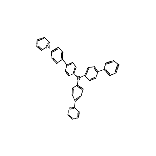 c1ccc(-c2ccc(B(c3ccc(-c4ccccc4)cc3)c3ccc(-c4ccccc4)cc3)cc2)cc1.c1ccncc1